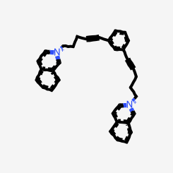 C(#Cc1cccc(C#CCCC[n+]2ccc3ccccc3c2)c1)CCC[n+]1ccc2ccccc2c1